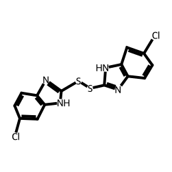 Clc1ccc2nc(SSc3nc4ccc(Cl)cc4[nH]3)[nH]c2c1